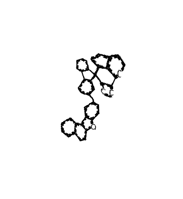 c1ccc2c(c1)-c1ccc(-c3ccc4oc5ccc6ccccc6c5c4c3)cc1C21c2ccccc2-c2cccc3cccc1c23